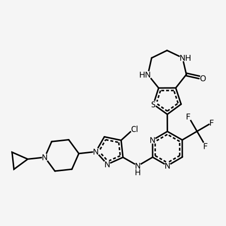 O=C1NCCNc2sc(-c3nc(Nc4nn(C5CCN(C6CC6)CC5)cc4Cl)ncc3C(F)(F)F)cc21